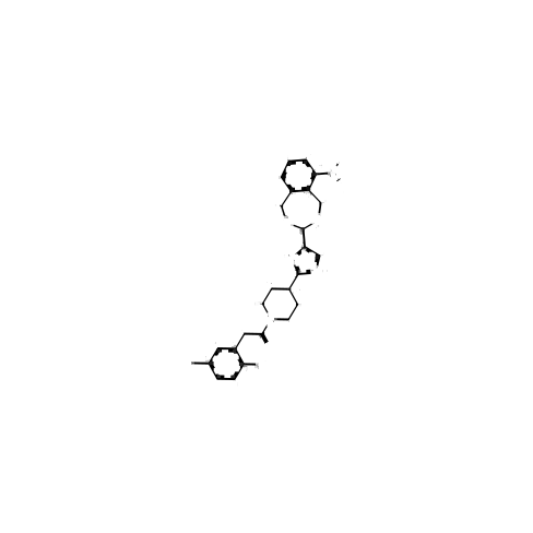 O=C(Cc1cc(Cl)ccc1Cl)N1CCC(c2nc(C3OCc4cccc([N+](=O)[O-])c4CO3)cs2)CC1